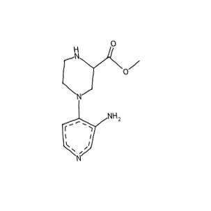 COC(=O)C1CN(c2ccncc2N)CCN1